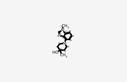 Cn1cnc2c(N3CCC(C)(O)CC3)cccc21